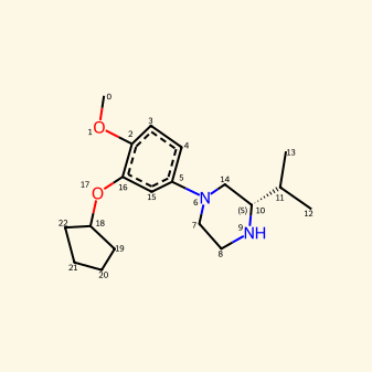 COc1ccc(N2CCN[C@@H](C(C)C)C2)cc1OC1CCCC1